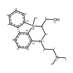 CN(C)CCN1CC(CO)S(C)(c2ccccc2)c2ccccc21